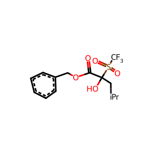 CC(C)CC(O)(C(=O)OCc1ccccc1)S(=O)(=O)C(F)(F)F